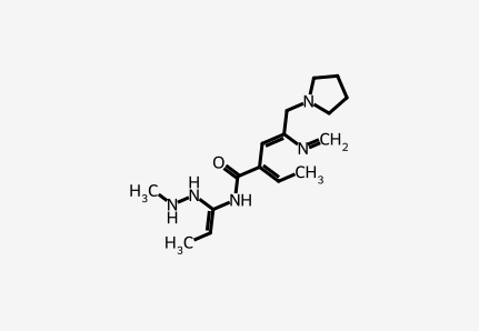 C=N/C(=C\C(=C/C)C(=O)N/C(=C/C)NNC)CN1CCCC1